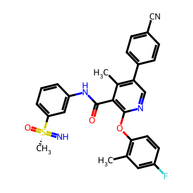 Cc1cc(F)ccc1Oc1ncc(-c2ccc(C#N)cc2)c(C)c1C(=O)Nc1cccc([S@@](C)(=N)=O)c1